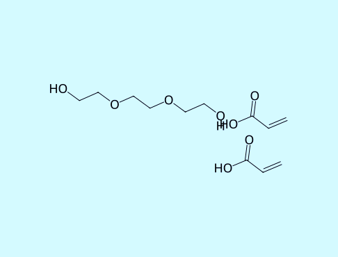 C=CC(=O)O.C=CC(=O)O.OCCOCCOCCO